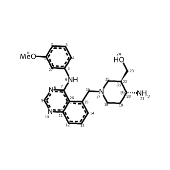 COc1cccc(Nc2ncnc3cccc(CN4CC[C@@H](N)[C@H](CO)C4)c23)c1